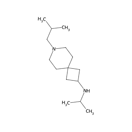 CC(C)CN1CCC2(CC1)CC(NC(C)C)C2